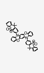 CC1(C)c2ccccc2S(=O)(=O)c2cc(-n3c4ccccc4oc4cc5c(cc43)oc3ccccc3n5-c3ccc4c(c3)S(=O)(=O)c3ccccc3C4(C)C)ccc21